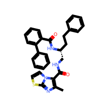 Cc1nc2sccn2c1C(=O)NC[C@@H](CCc1ccccc1)NC(=O)c1ccccc1-c1ccccc1